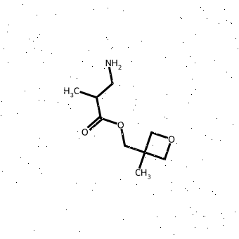 CC(CN)C(=O)OCC1(C)COC1